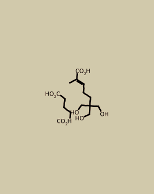 CC(=CCCC(CO)(CO)CO)C(=O)O.O=C(O)CCCC(=O)O